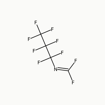 FC(F)=NC(F)(F)C(F)(F)C(F)(F)F